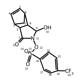 O=C1C2C3C=CC(C3)C2C(O)N1OS(=O)(=O)c1ccc(C(F)(F)F)cc1